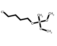 CO[Si](C)(OC)OCCCCCl